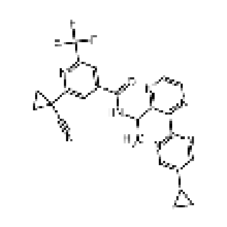 CC(NC(=O)c1cc(C(F)(F)F)nc(C2(C#N)CC2)c1)c1nccnc1-c1ncc(C2CC2)cn1